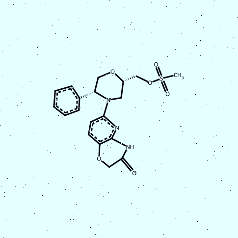 CS(=O)(=O)OC[C@@H]1CN(c2ccc3c(n2)NC(=O)CO3)[C@H](c2ccccc2)CO1